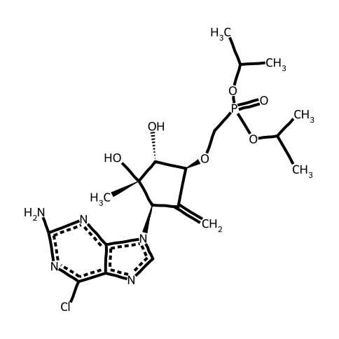 C=C1[C@H](OCP(=O)(OC(C)C)OC(C)C)[C@@H](O)[C@@](C)(O)[C@@H]1n1cnc2c(Cl)nc(N)nc21